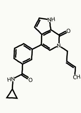 CC=CCn1cc(-c2cccc(C(=O)NC3CC3)c2)c2cc[nH]c2c1=O